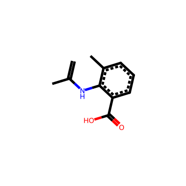 C=C(C)Nc1c(C)cccc1C(=O)O